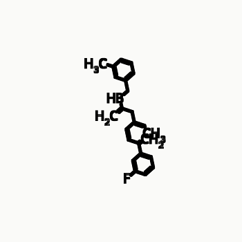 C=C(BCc1cccc(C)c1)CC(/C=C\C(=C)c1cccc(F)c1)=C/C